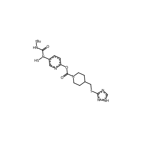 CC(C)(C)NC(=O)N(S)c1ccc(OC(=O)N2CCC(CSc3nc[nH]n3)CC2)nc1